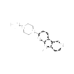 Cn1c2ccncc2c2ccc(N3CCN(N)CC3)nc21